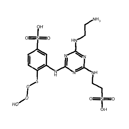 NCCNc1nc(NCCS(=O)(=O)O)nc(Nc2cc(S(=O)(=O)O)ccc2SOOO)n1